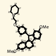 COc1ccc2c(c1)C(c1ccc(OCCN3CCCCC3)cc1)c1c-2ccc2cc(OC)ccc12